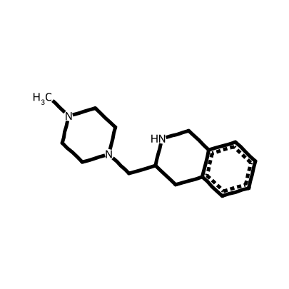 CN1CCN(CC2Cc3ccccc3CN2)CC1